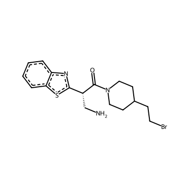 NC[C@@H](C(=O)N1CCC(CCBr)CC1)c1nc2ccccc2s1